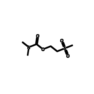 CN(C)C(=O)OCCS(C)(=O)=O